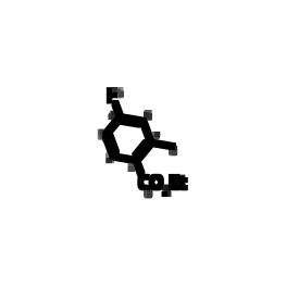 CCOC(=O)c1c[c]c(F)cc1C